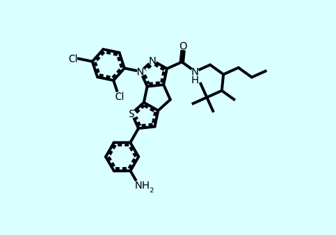 CCCC(CNC(=O)c1nn(-c2ccc(Cl)cc2Cl)c2c1Cc1cc(-c3cccc(N)c3)sc1-2)C(C)C(C)(C)C